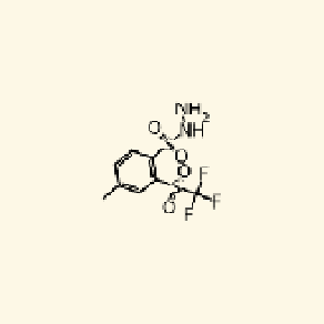 Cc1ccc(S(=O)(=O)NN)c(S(=O)(=O)C(F)(F)F)c1